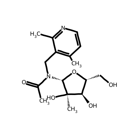 CC(=O)N(Cc1c(C)ccnc1C)[C@@H]1O[C@H](CO)[C@@H](O)[C@@]1(C)O